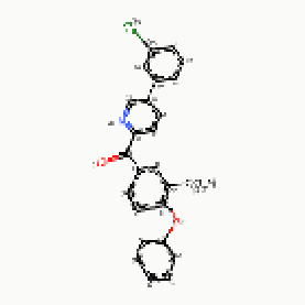 O=C(c1ccc(Oc2ccccc2)c(C(=O)O)c1)c1ccc(-c2cccc(Cl)c2)cn1